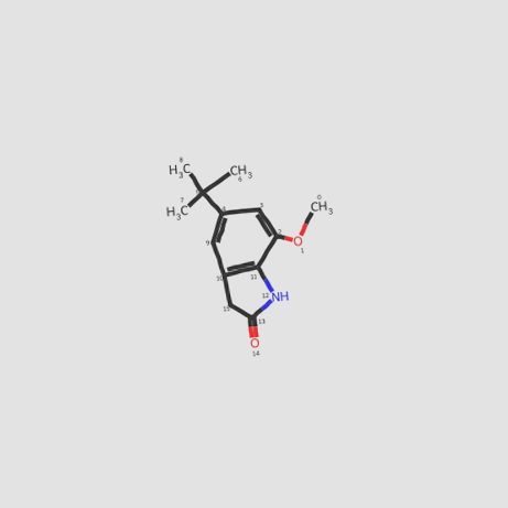 COc1cc(C(C)(C)C)cc2c1NC(=O)C2